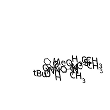 COc1c(-c2ccc(NC(=O)[C@@H](NC(=O)OC(C)(C)C)C3CCCCC3)cc2)c(C)nn1COCC[Si](C)(C)C